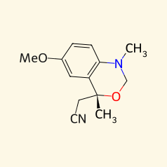 COc1ccc2c(c1)[C@@](C)(CC#N)OCN2C